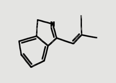 CC(C)=CC1=NCc2ccccc21